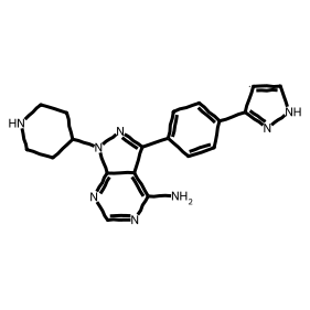 Nc1ncnc2c1c(-c1ccc(-c3[c]c[nH]n3)cc1)nn2C1CCNCC1